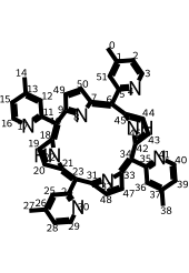 Cc1ccnc(-c2c3nc(c(-c4cc(C)ccn4)c4ccc([nH]4)c(-c4cc(C)ccn4)c4nc(c(-c5cc(C)ccn5)c5ccc2[nH]5)C=C4)C=C3)c1